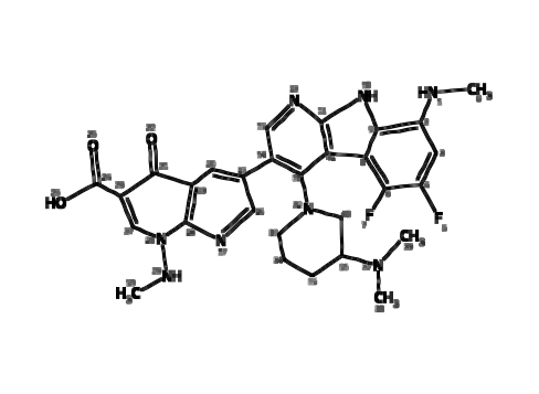 CNc1cc(F)c(F)c2c1[nH]c1ncc(-c3cnc4c(c3)c(=O)c(C(=O)O)cn4NC)c(N3CCCC(N(C)C)C3)c12